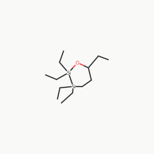 CCC1CC[Si](CC)(CC)[Si](CC)(CC)O1